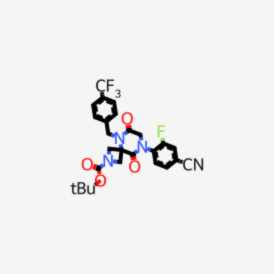 CC(C)(C)OC(=O)N1CC2(C1)C(=O)N(c1ccc(C#N)cc1F)CC(=O)N2Cc1ccc(C(F)(F)F)cc1